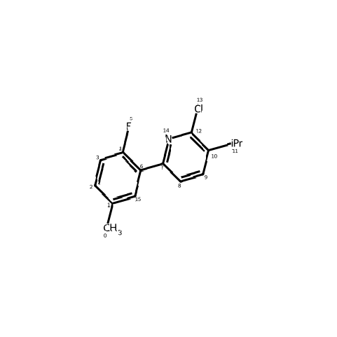 Cc1ccc(F)c(-c2ccc(C(C)C)c(Cl)n2)c1